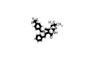 CC1(C)CN2C(=N1)NC(=O)c1c2cn(Cc2ccc(C(F)(F)F)cc2)c1Cc1ccccc1